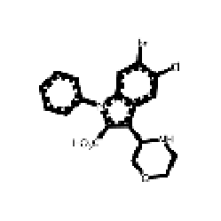 O=C(O)c1c(C2COCCN2)c2cc(Cl)c(Br)cc2n1-c1ccccc1